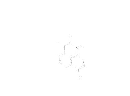 CCN1C(=O)c2cccc3c(C(C)C)ccc(c23)C1=O